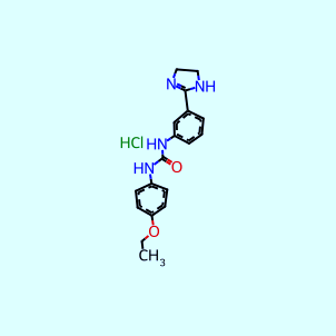 CCOc1ccc(NC(=O)Nc2cccc(C3=NCCN3)c2)cc1.Cl